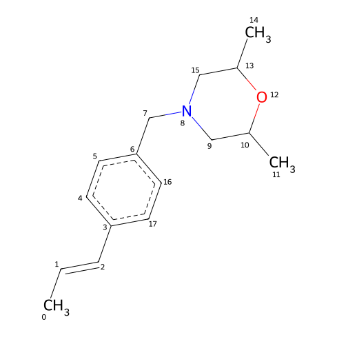 C/C=C/c1ccc(CN2CC(C)OC(C)C2)cc1